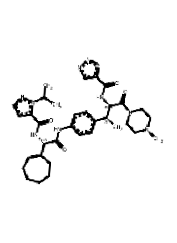 CC(C)n1nccc1C(=O)N[C@H](C(=O)Nc1ccc([C@H](C)[C@@H](NC(=O)c2cnns2)C(=O)N2CCN(C)CC2)cc1)C1CCCCCC1